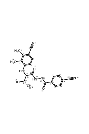 Cc1c(C#N)ccc(N[C@@H](C(=O)NNC(=O)c2ccc(C#N)cc2)[C@H](C)O)c1C